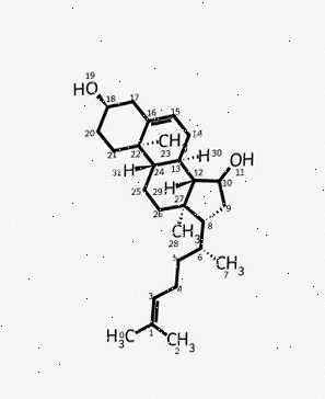 CC(C)=CCC[C@@H](C)[C@H]1CC(O)[C@H]2[C@@H]3CC=C4C[C@H](O)CC[C@]4(C)[C@H]3CC[C@]12C